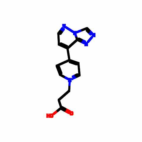 O=C(O)CC[n+]1ccc(-c2ccnn3cnnc23)cc1